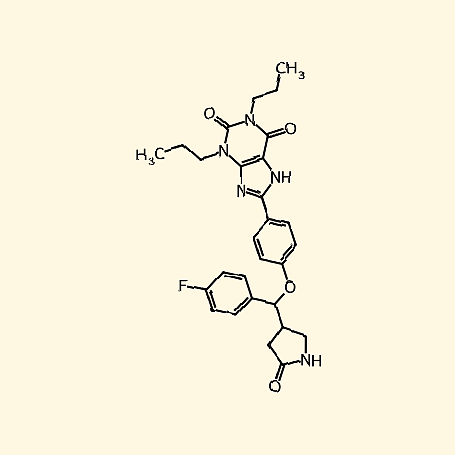 CCCn1c(=O)c2[nH]c(-c3ccc(OC(c4ccc(F)cc4)C4CNC(=O)C4)cc3)nc2n(CCC)c1=O